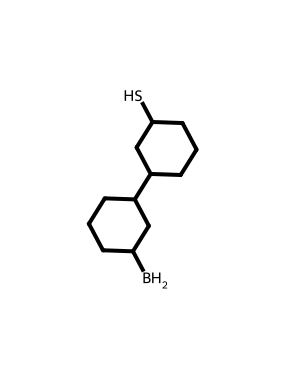 BC1CCCC(C2CCCC(S)C2)C1